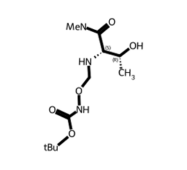 CNC(=O)[C@@H](NCONC(=O)OC(C)(C)C)[C@@H](C)O